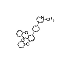 Cc1cc(-c2ccc(-c3ccc4c5c3Oc3ccccc3P5(=O)c3ccccc3O4)cc2)ccn1